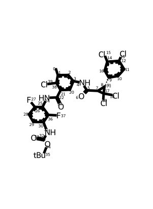 Cc1cc(NC(=O)C2[C@H](c3ccc(Cl)c(Cl)c3)C2(Cl)Cl)cc(C(=O)Nc2c(F)ccc(NC(=O)OC(C)(C)C)c2F)c1Cl